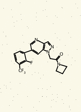 O=C(Cn1ncc2ncc(-c3cccc(C(F)(F)F)c3F)cc21)N1CCC1